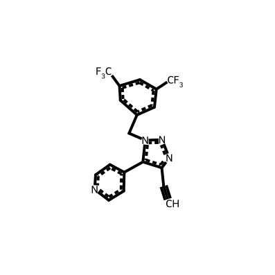 C#Cc1nnn(Cc2cc(C(F)(F)F)cc(C(F)(F)F)c2)c1-c1ccncc1